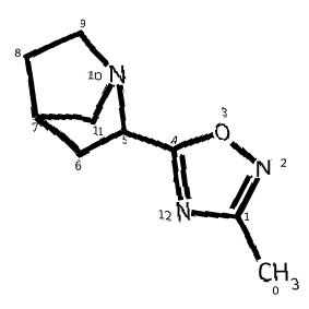 Cc1noc(C2CC3CCN2C3)n1